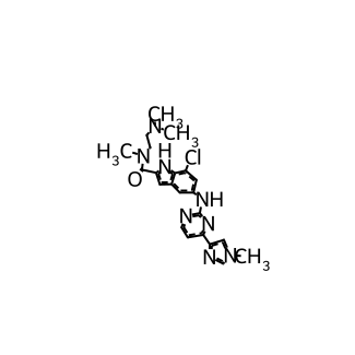 CN(C)CCN(C)C(=O)c1cc2cc(Nc3nccc(-c4cn(C)cn4)n3)cc(Cl)c2[nH]1